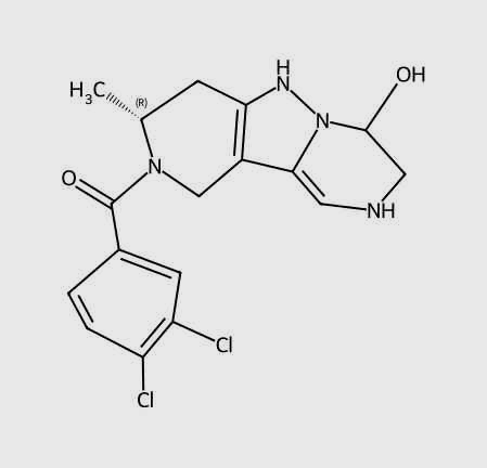 C[C@@H]1CC2=C(CN1C(=O)c1ccc(Cl)c(Cl)c1)C1=CNCC(O)N1N2